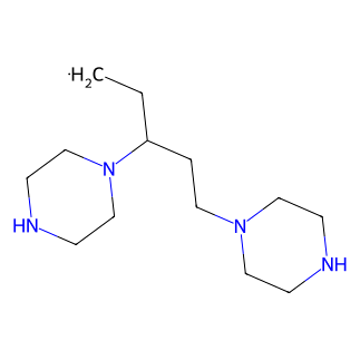 [CH2]CC(CCN1CCNCC1)N1CCNCC1